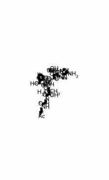 CC(=O)SCCNC(=O)CCNC(=O)[C@H](O)C(C)(C)COP(=O)(O)OP(=O)(O)OC[C@H]1O[C@@H](n2cnc3c(N)ncnc32)[C@H](O)[C@@H]1OP(=O)(O)O.OCc1ccccc1